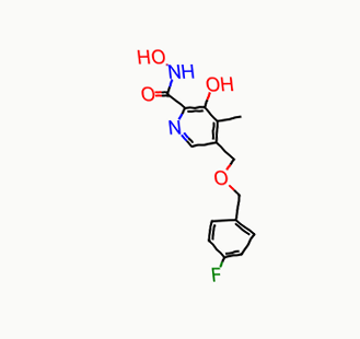 Cc1c(COCc2ccc(F)cc2)cnc(C(=O)NO)c1O